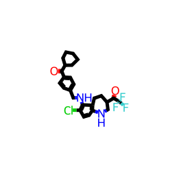 O=C(c1ccc(CNc2c(Cl)ccc3c2CCC(C(=O)C(F)(F)F)CN3)cc1)C1CCCCC1